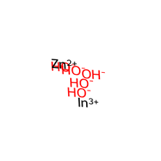 [In+3].[OH-].[OH-].[OH-].[OH-].[OH-].[Zn+2]